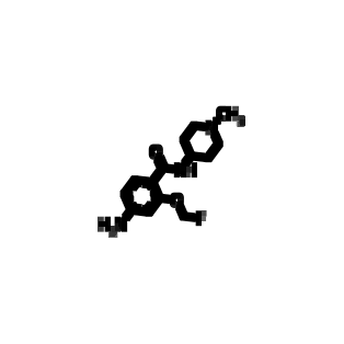 CN1CCC(NC(=O)c2ccc(N)cc2OCF)CC1